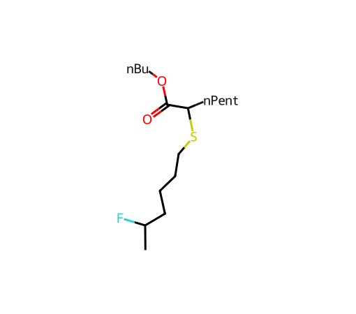 CCCCCC(SCCCCC(C)F)C(=O)OCCCC